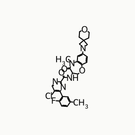 Cc1ccc(F)c(-c2nc(C(=O)NC3COc4ccc(N5CC6(CCOCC6)C5)cc4N(C)C3=O)ncc2Cl)c1